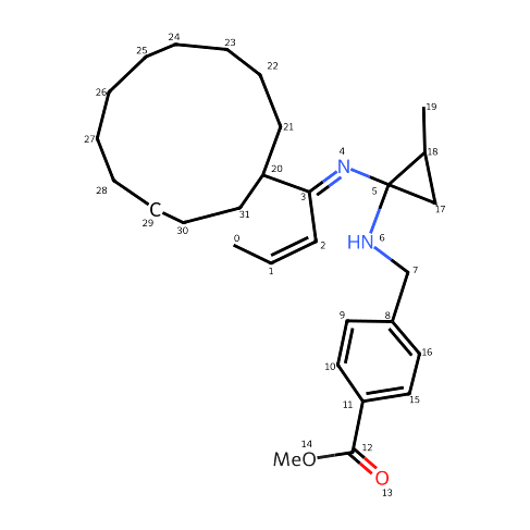 C/C=C\C(=N/C1(NCc2ccc(C(=O)OC)cc2)CC1C)C1CCCCCCCCCCC1